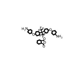 Nc1ccc(Oc2ccc(C(c3ccc(Oc4ccc(N)cc4)cc3)(C(F)(F)F)C(F)(F)F)cc2)cc1.O=C1OC(=O)c2ccccc21